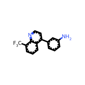 Nc1cccc(-c2ccnc3c(C(F)(F)F)cccc23)c1